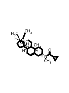 C[C@H]1[C@H]2CC[C@H]3[C@@H]4CC=C5C[C@@H](N(C)C(=O)C6CC6)CC[C@]5(C)C4CC[C@]23CN1C